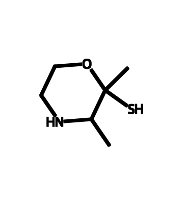 CC1NCCOC1(C)S